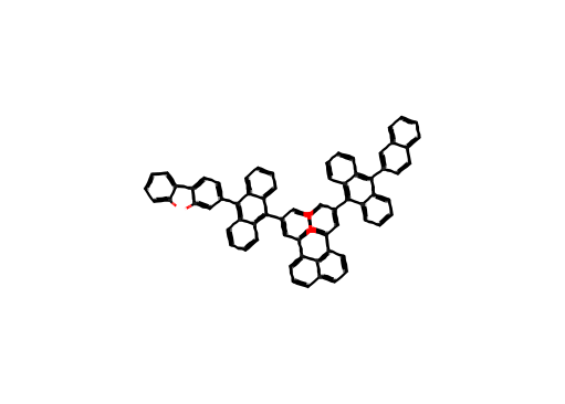 c1cc(-c2c3ccccc3c(-c3ccc4ccccc4c3)c3ccccc23)cc(-c2cccc3cccc(-c4cccc(-c5c6ccccc6c(-c6ccc7c(c6)oc6ccccc67)c6ccccc56)c4)c23)c1